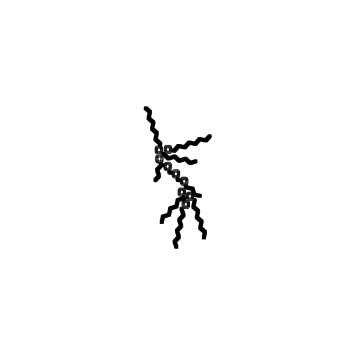 CCCCCCCCOC(CCCCCC)(OCCCCCCCC)OC(CCC)OCOCOC(CCC)OC(CCCCCC)(OCCCCCCCC)OCCCCCCCC